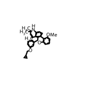 COc1cccc2c1-c1ccc3c(c1C(c1cccc(OCC4CC4)c1)O2)C(C)=CC(C)(C)N3